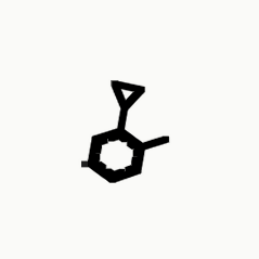 Cc1cc[c]cc1C1CC1